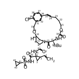 C=CC1C[C@]1(NC(=O)[C@@H]1C[C@@H]2CN1C(=O)[C@H](CCCC)NC(=O)OCCC/C=C/c1ccc(Cl)c(c1)CO2)C(=O)NS(=O)(=O)C1CC1